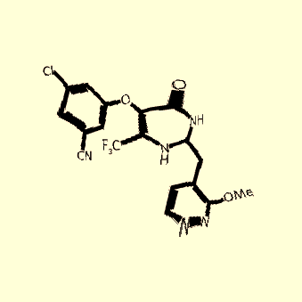 COc1nnccc1CC1NC(=O)C(Oc2cc(Cl)cc(C#N)c2)=C(C(F)(F)F)N1